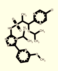 COc1cccc(-c2nnc(NS(=O)(=O)C(C)C(OC(C)C)c3ncc(Cl)cn3)n2C(C)C)n1